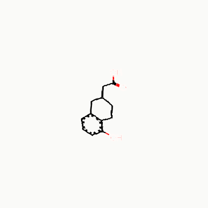 O=C(O)CC1CCc2c(O)cccc2C1